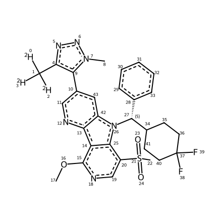 [2H]C([2H])([2H])c1nnn(C)c1-c1cnc2c3c(OC)ncc(S(C)(=O)=O)c3n([C@H](c3ccccc3)C3CCC(F)(F)CC3)c2c1